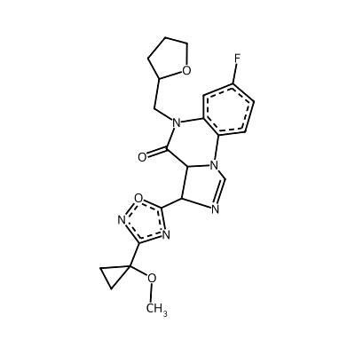 COC1(c2noc(C3N=CN4c5ccc(F)cc5N(CC5CCCO5)C(=O)C34)n2)CC1